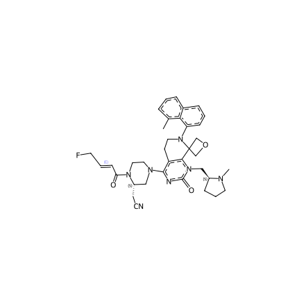 Cc1cccc2cccc(N3CCc4c(N5CCN(C(=O)/C=C/CF)[C@@H](CC#N)C5)nc(=O)n(C[C@@H]5CCCN5C)c4C34COC4)c12